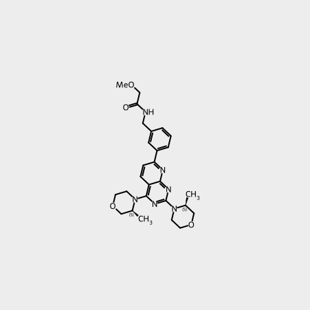 COCC(=O)NCc1cccc(-c2ccc3c(N4CCOC[C@@H]4C)nc(N4CCOC[C@@H]4C)nc3n2)c1